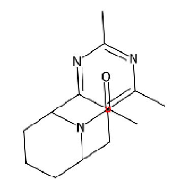 CC(=O)N1C2CCCC1c1nc(C)nc(C)c1C2